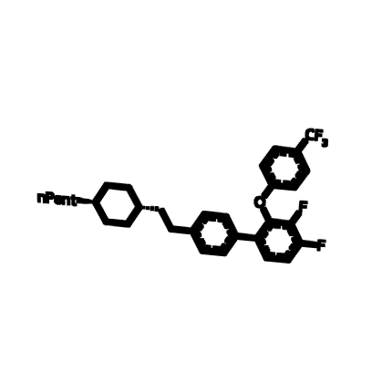 CCCCC[C@H]1CC[C@H](CCc2ccc(-c3ccc(F)c(F)c3Oc3ccc(C(F)(F)F)cc3)cc2)CC1